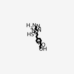 Nc1ncnc2c1nc(S)n2CCC1CCN(C(=O)CO)CC1